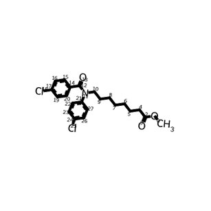 COC(=O)CCCCCCCN(C(=O)c1ccc(Cl)cc1)c1ccc(Cl)cc1